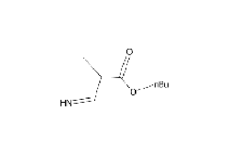 CCCCOC(=O)C(C)C=N